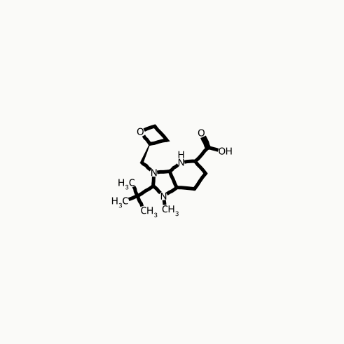 CN1C2CCC(C(=O)O)NC2N(C[C@@H]2CCO2)C1C(C)(C)C